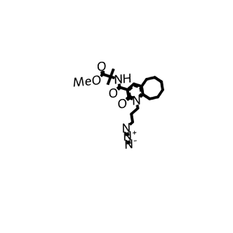 COC(=O)C(C)(C)NC(=O)c1cc2c(n(CCCN=[N+]=[N-])c1=O)CCCCCC2